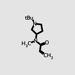 C=CC(=O)N(C)C1CCN(C(C)(C)C)C1